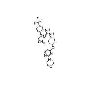 CCOc1ccc(C(F)(F)F)cc1NC(=O)NC1CCC(Oc2ccnc(N3CCOCC3)n2)CC1